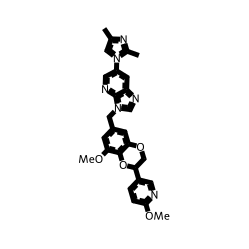 COc1ccc(C2COc3cc(Cn4cnc5cc(-n6cc(C)nc6C)cnc54)cc(OC)c3O2)cn1